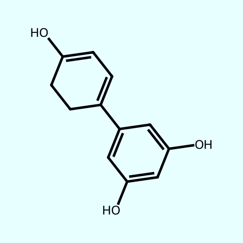 OC1=CC=C(c2cc(O)cc(O)c2)CC1